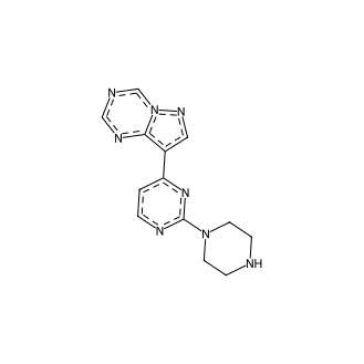 c1cc(-c2cnn3cncnc23)nc(N2CCNCC2)n1